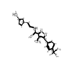 O=C(NCC[C@H]1CC[C@@H](O)C1)c1noc(-c2ccc(C(F)(F)F)cc2)c1Cl